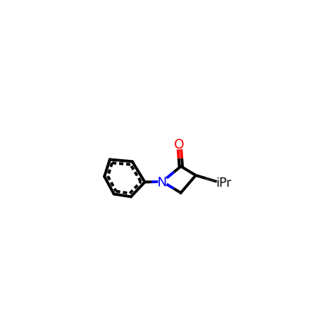 CC(C)C1CN(c2ccccc2)C1=O